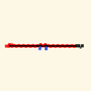 O=C(O)CCOCCOCCOCCOCCOCCOCCOCCOCCOCCOCCOCCOCCNC(=O)COCOCC(=O)NCCOCCOCCOCCOCCOCCOCCOCCOCCOCCOCCOCCOCCC(O)O